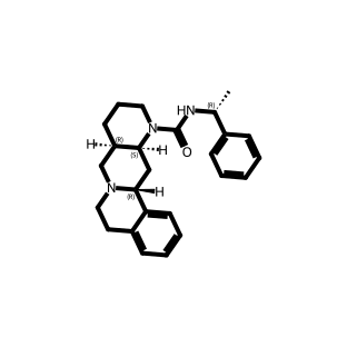 C[C@@H](NC(=O)N1CCC[C@@H]2CN3CCc4ccccc4[C@H]3C[C@@H]21)c1ccccc1